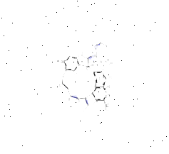 C/C=N\N=C(/C)C1(NC)c2ccc(C)c(c2)C/C=C/C=C\C(=C/C)c2cc(CC)nc3ccc1cc23